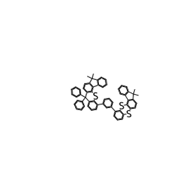 CC1(C)c2ccccc2-c2c1ccc1c2Sc2c(cccc2-c2cccc(-c3cccc4c3Sc3c(ccc5c3-c3ccccc3C5(C)C)C4(c3ccccc3)c3ccccc3)c2)S1